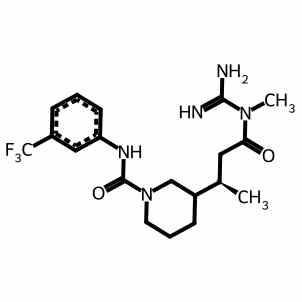 C[C@H](CC(=O)N(C)C(=N)N)C1CCCN(C(=O)Nc2cccc(C(F)(F)F)c2)C1